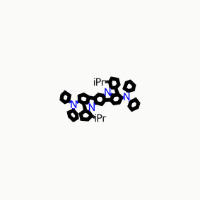 CC(C)c1cccc2c3c(N(c4ccccc4)c4ccccc4)ccc4c5cc6c(cc5n(c12)c43)c1ccc(N(c2ccccc2)c2ccccc2)c2c3cccc(C(C)C)c3n6c12